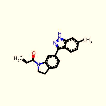 C=CC(=O)N1CCc2ccc(-c3n[nH]c4cc(C)ccc34)cc21